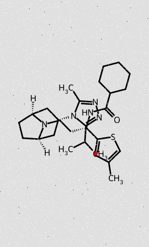 Cc1csc([C@H](CCN2[C@@H]3CC[C@H]2C[C@H](n2c(C)nnc2C(C)C)C3)NC(=O)C2CCCCC2)c1